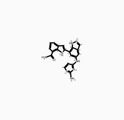 NC(=O)c1cccc2cc(-c3cc(Nc4ccnc(N)n4)cc4cn[nH]c34)[nH]c12